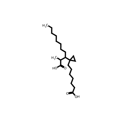 CCCCCCCCC(C(C)C(=O)O)C1(CCCCCCC(=O)O)CC1